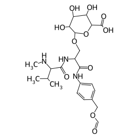 CNC(C(=O)NC(COC1OC(C(=O)O)C(O)C(O)C1O)C(=O)Nc1ccc(COC=O)cc1)C(C)C